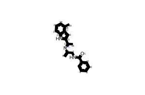 C=C(CNC(=O)c1ccccc1)/N=C(\C)c1cc2c(C)cccc2[nH]1